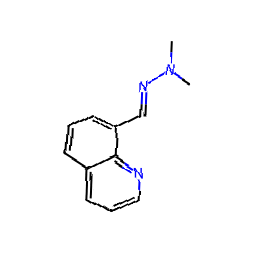 CN(C)N=Cc1cccc2cccnc12